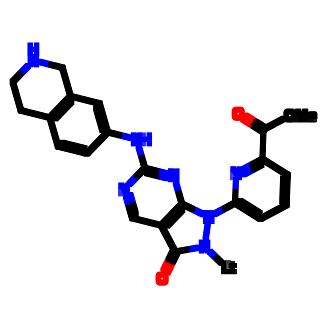 CCn1c(=O)c2cnc(Nc3ccc4c(c3)CNCC4)nc2n1-c1cccc(C(=O)OC)n1